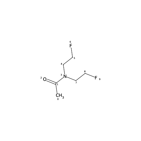 CC(=O)N(CCF)CCF